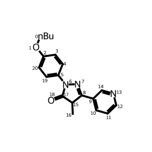 CCCCOc1ccc(N2N=C(c3cccnc3)C(C)C2=O)cc1